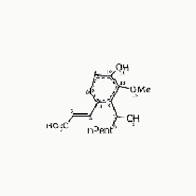 CCCCCC(O)c1c(C=CC(=O)O)ccc(O)c1OC